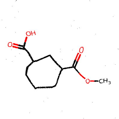 COC(=O)C1CCCC(C(=O)O)C1